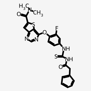 CN(C)C(=O)c1cc2ncnc(Oc3ccc(NC(=S)NC(=O)Cc4ccccc4)cc3F)c2s1